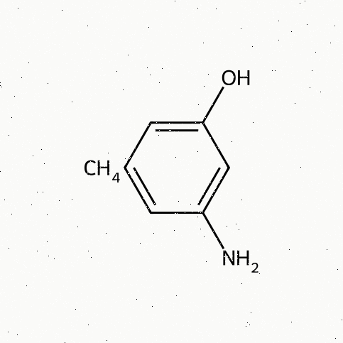 C.Nc1cccc(O)c1